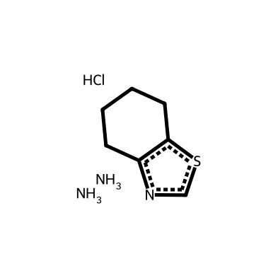 Cl.N.N.c1nc2c(s1)CCCC2